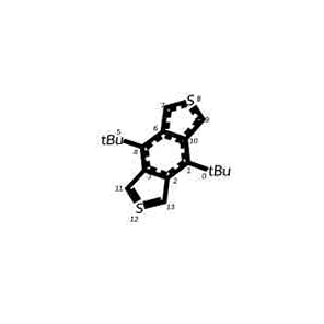 CC(C)(C)c1c2c(c(C(C)(C)C)c3cscc13)C=S=C2